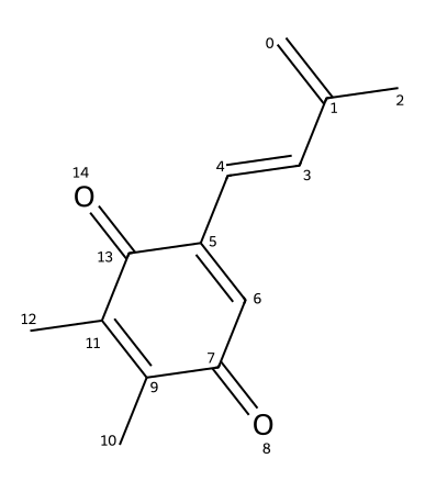 C=C(C)C=CC1=CC(=O)C(C)=C(C)C1=O